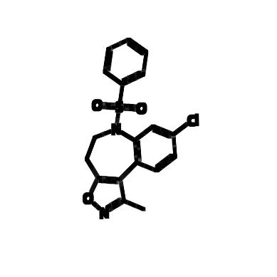 Cc1noc2c1-c1ccc(Cl)cc1N(S(=O)(=O)c1ccccc1)CC2